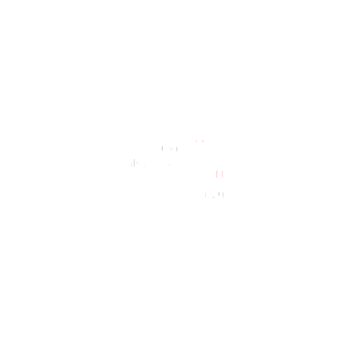 CC(C)(C)OO.CCCCOC(=O)CCCC